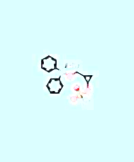 CCS(=O)(=O)OC1CC1CO[Si](c1ccccc1)(c1ccccc1)C(C)(C)C